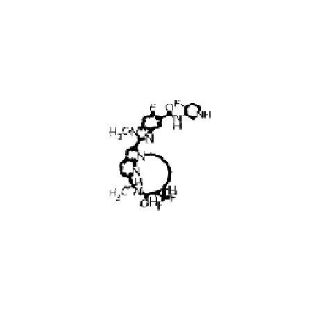 C[C@H]1NC(=O)[C@H]2[C@H](CCCCCn3c(-c4nc5cc(C(=O)N[C@H]6CNCC[C@@H]6F)c(F)cc5n4C)cc4ccc1nc43)C2(F)F